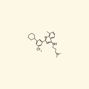 Cc1cccc2c(NCCCN(C)C)nc(-c3cc(C4CCCCC4)cc(C(F)(F)F)c3)nc12